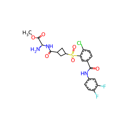 COC(=O)[C@H](N)NC(=O)C1CC(S(=O)(=O)c2cc(C(=O)Nc3ccc(F)c(F)c3)ccc2Cl)C1